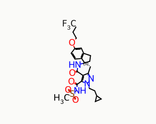 CS(=O)(=O)NC(=O)c1c2c(nn1CCC1CC1)C[C@]1(CCc3cc(OCCCC(F)(F)F)ccc31)NC2=O